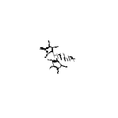 CC1=C(C)C(C)[C]([Hf][C]2=C(C)C(C)=C(C)C2C)=C1C.CCCC